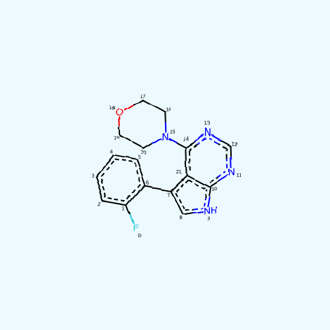 Fc1ccccc1-c1c[nH]c2ncnc(N3CCOCC3)c12